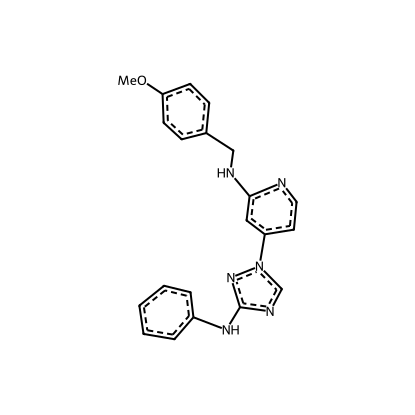 COc1ccc(CNc2cc(-n3cnc(Nc4ccccc4)n3)ccn2)cc1